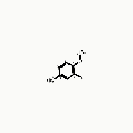 Cc1cc(C(C)(C)C)ccc1OC(C)(C)C